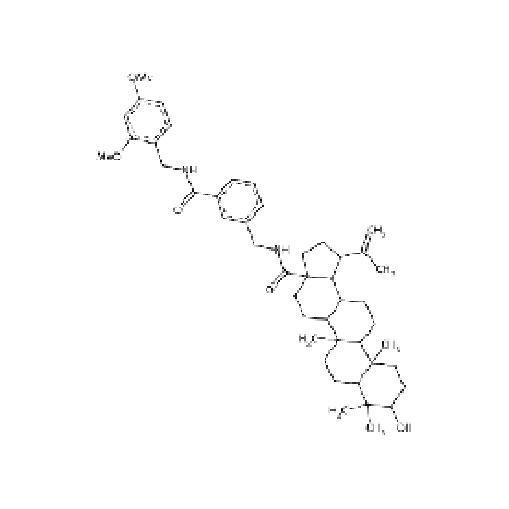 C=C(C)C1CCC2(C(=O)NCc3cccc(C(=O)NCc4ccc(OC)cc4OC)c3)CCC3C(CCC4C3(C)CCC3C(C)(C)C(O)CCC34C)C12